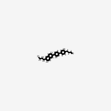 C=CCCc1ccc(-c2ccc(-c3ccc4cc(CCCC)ccc4c3)cc2)cc1